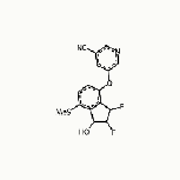 CSc1ccc(Oc2cncc(C#N)c2)c2c1C(O)C(F)C2F